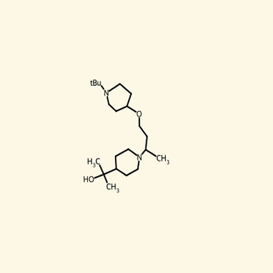 CC(CCOC1CCN(C(C)(C)C)CC1)N1CCC(C(C)(C)O)CC1